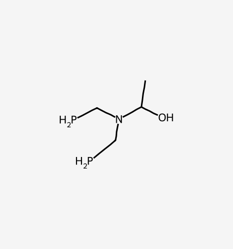 CC(O)N(CP)CP